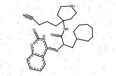 N#CCCCC1(NC(=O)C(CC2CCCCCC2)N=c2[nH]c(=O)oc3ccccc23)CCNCC1